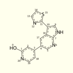 Oc1cc(-c2cnc3[nH]cc(-c4nccs4)c3c2)ccn1